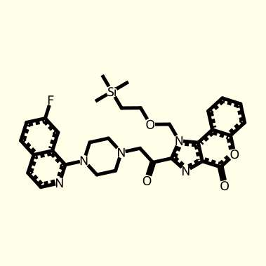 C[Si](C)(C)CCOCn1c(C(=O)CN2CCN(c3nccc4ccc(F)cc34)CC2)nc2c(=O)oc3ccccc3c21